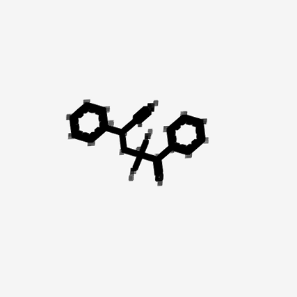 N#CC(CC(F)(F)C(=O)c1ccccc1)c1ccccc1